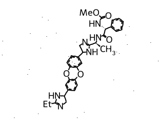 CCC1=NCC(c2ccc3c(c2)Oc2ccc(C4CN=C([C@H](C)NC(=O)[C@H](NC(=O)OC)c5ccccc5)N4)cc2O3)N1